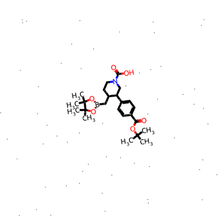 CC(C)(C)OC(=O)c1ccc(C2CN(C(=O)O)CCC2CB2OC(C)(C)C(C)(C)O2)cc1